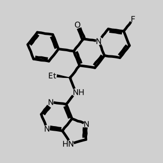 CC[C@H](Nc1ncnc2[nH]cnc12)c1cc2ccc(F)cn2c(=O)c1-c1ccccc1